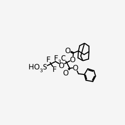 O=C(OC(OCC(F)(F)S(=O)(=O)O)(C(=O)OCc1ccccc1)C(F)(F)F)C12CC3CC(CC(C3)C1)C2